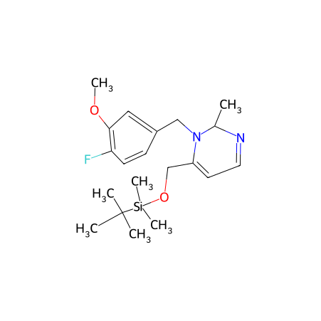 COc1cc(CN2C(CO[Si](C)(C)C(C)(C)C)=CC=NC2C)ccc1F